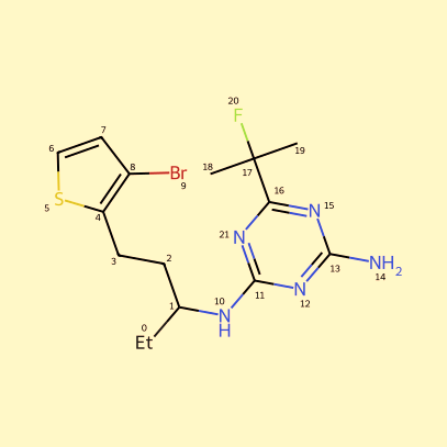 CCC(CCc1sccc1Br)Nc1nc(N)nc(C(C)(C)F)n1